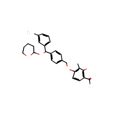 CCC(=O)c1ccc(OCc2ccc(C(OC3CCCCO3)c3cccc(C#N)c3)cc2)c(C)c1O